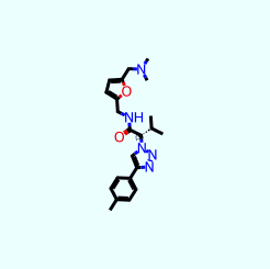 Cc1ccc(-c2cn([C@H](C(=O)NCc3ccc(CN(C)C)o3)C(C)C)nn2)cc1